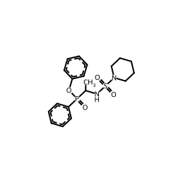 CC(NS(=O)(=O)N1CCCCC1)P(=O)(Oc1ccccc1)c1ccccc1